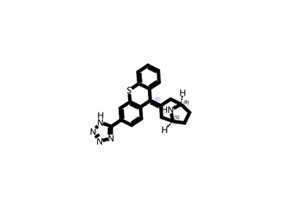 c1ccc2c(c1)Sc1cc(-c3nnn[nH]3)ccc1/C2=C1/C[C@H]2CC[C@@H](C1)N2